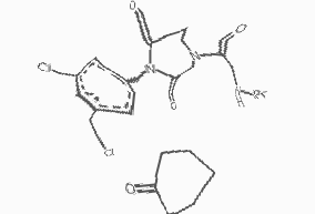 CC(C)NC(=O)N1CC(=O)N(c2cc(Cl)cc(Cl)c2)C1=O.O=C1CCCCC1